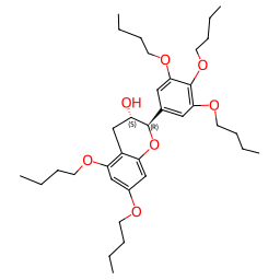 CCCCOc1cc(OCCCC)c2c(c1)O[C@H](c1cc(OCCCC)c(OCCCC)c(OCCCC)c1)[C@@H](O)C2